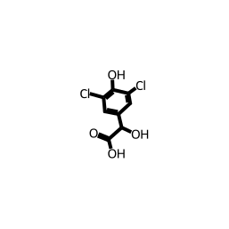 O=C(O)C(O)c1cc(Cl)c(O)c(Cl)c1